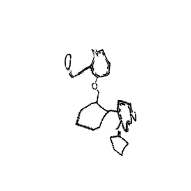 O=Cc1ncccc1OCC1CCCCC1c1ccnn1C1CCCC1